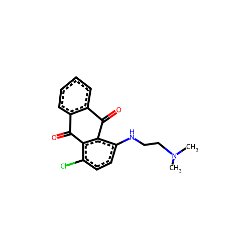 CN(C)CCNc1ccc(Cl)c2c1C(=O)c1ccccc1C2=O